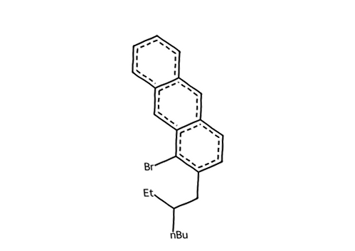 CCCCC(CC)Cc1ccc2cc3ccccc3cc2c1Br